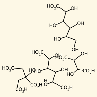 O=C(O)C(O)C(O)C(=O)O.O=C(O)C(O)C(O)C(O)C(O)C(=O)O.O=C(O)C(O)C(O)C(O)C(O)CO.O=C(O)CC(O)(CC(=O)O)C(=O)O